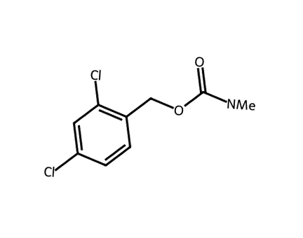 CNC(=O)OCc1ccc(Cl)cc1Cl